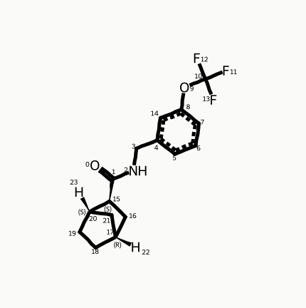 O=C(NCc1cccc(OC(F)(F)F)c1)[C@H]1C[C@@H]2CC[C@H]1C2